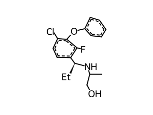 CC[C@H](NC(C)CO)c1ccc(Cl)c(Oc2ccccc2)c1F